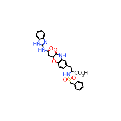 O=C(CC1Oc2ccc(C[C@H](NS(=O)(=O)Cc3ccccc3)C(=O)O)cc2NC1=O)Nc1nc2ccccc2[nH]1